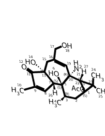 CC(=O)O[C@@]12C[C@@H](C)[C@]3(O)[C@@H]4C=C(C)C(=O)[C@@]4(O)CC(CO)=C[C@@]3(N)[C@@H]1C2(C)C